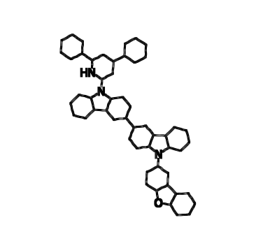 C1CCC(C2CC(C3CCCCC3)NC(N3C4CCCCC4C4CC(C5CCC6C(C5)C5CCCCC5N6C5CCC6OC7CCCCC7C6C5)CCC43)C2)CC1